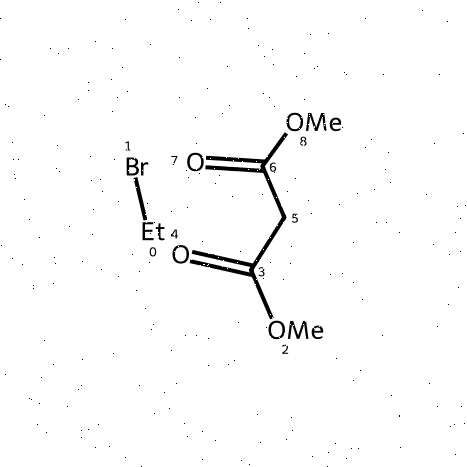 CCBr.COC(=O)CC(=O)OC